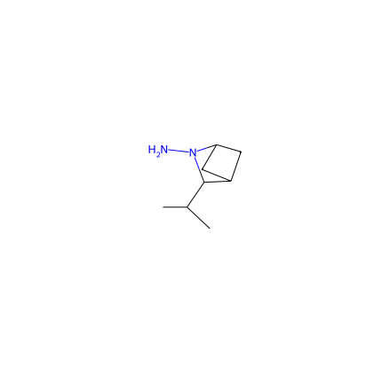 CC(C)C1C2CC(C2)N1N